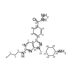 CCCCNc1ncc2c(-c3ccc(C(=O)NN)cc3)nn(C[C@H]3CC[C@H](N)CC3)c2n1